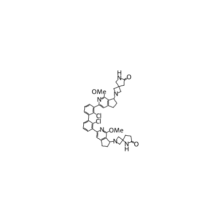 COc1nc(-c2cccc(-c3cccc(-c4cc5c(c(OC)n4)C(N4CC6(CCC(=O)N6)C4)CC5)c3Cl)c2Cl)cc2c1C(N1CC3(CNC(=O)C3)C1)CC2